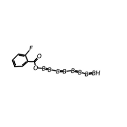 B=BB=BB=BB=BOC(=O)c1ccccc1F